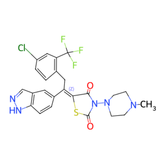 CN1CCN(N2C(=O)S/C(=C(/Cc3ccc(Cl)cc3C(F)(F)F)c3ccc4[nH]ncc4c3)C2=O)CC1